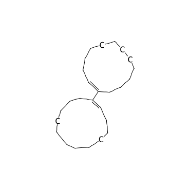 C1=C(C2=CCCCCCCCCCCC2)CCCCCCCCCCC1